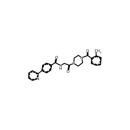 Cc1ccccc1C(=O)N1CCN(C(=O)CNC(=O)c2ccc(-c3ccccn3)cc2)CC1